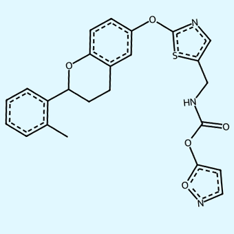 Cc1ccccc1C1CCc2cc(Oc3ncc(CNC(=O)Oc4ccno4)s3)ccc2O1